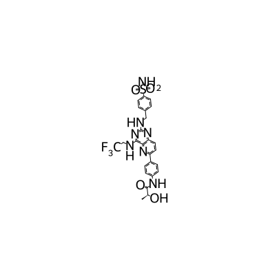 C[C@H](O)C(=O)Nc1ccc(-c2ccc3nc(NCc4ccc(S(N)(=O)=O)cc4)nc(NCC(F)(F)F)c3n2)cc1